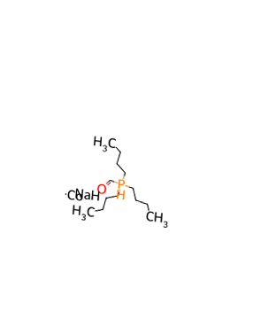 CCCC[PH](C=O)(CCCC)CCCC.[Co].[NaH]